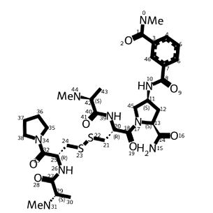 CNC(=O)c1cccc(C(=O)N[C@H]2C[C@@H](C(N)=O)N(C(=O)[C@H](CSSC[C@H](NC(=O)[C@H](C)NC)C(=O)N3CCCC3)NC(=O)[C@H](C)NC)C2)c1